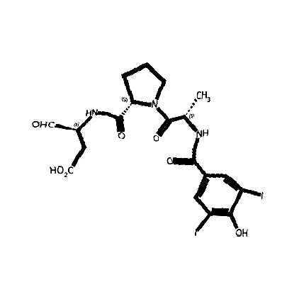 C[C@H](NC(=O)c1cc(I)c(O)c(I)c1)C(=O)N1CCC[C@H]1C(=O)N[C@H](C=O)CC(=O)O